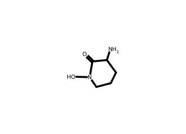 NC1CCCN(O)C1=O